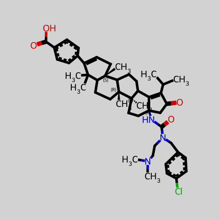 CC(C)C1=C2C3CCC4[C@@]5(C)CC=C(c6ccc(C(=O)O)cc6)C(C)(C)C5CC[C@@]4(C)[C@]3(C)CC[C@@]2(NC(=O)N(CCN(C)C)Cc2ccc(Cl)cc2)CC1=O